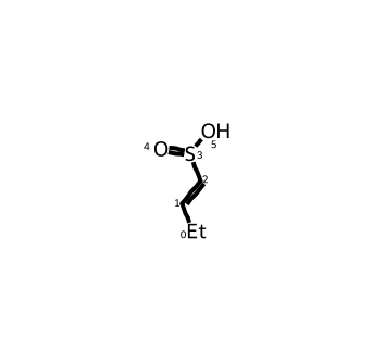 CC/C=C/S(=O)O